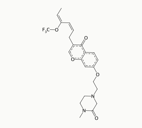 C/C=C(\C=C/Cc1coc2cc(OCCN3CCN(C)C(=O)C3)ccc2c1=O)OC(F)(F)F